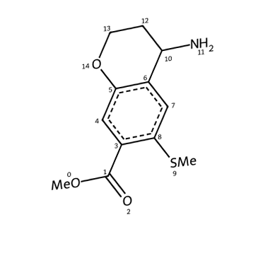 COC(=O)c1cc2c(cc1SC)C(N)CCO2